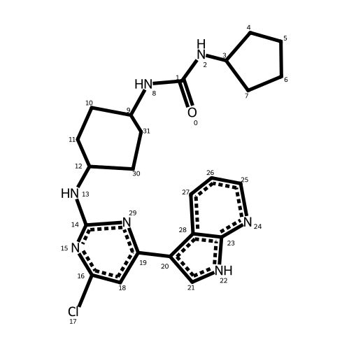 O=C(NC1CCCC1)NC1CCC(Nc2nc(Cl)cc(-c3c[nH]c4ncccc34)n2)CC1